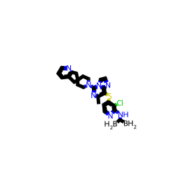 BC(B)Nc1nccc(Sc2c(C)nc(N3CCC4(CC3)Cc3cccnc3C4)n3ccnc23)c1Cl